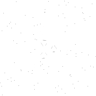 OCC1(COc2ccc(C(c3ccc(OCC4CO4)cc3)c3ccc(OCC4CO4)cc3)cc2)COC1